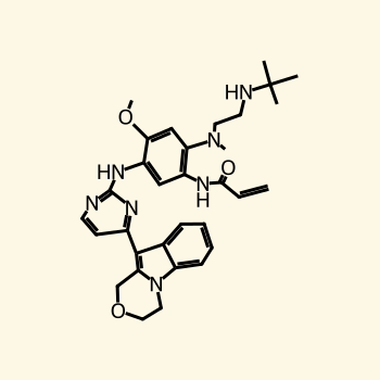 C=CC(=O)Nc1cc(Nc2nccc(-c3c4n(c5ccccc35)CCOC4)n2)c(OC)cc1N(C)CCNC(C)(C)C